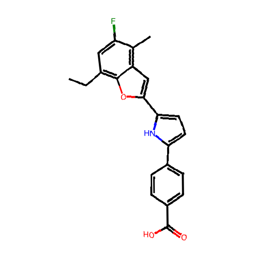 CCc1cc(F)c(C)c2cc(-c3ccc(-c4ccc(C(=O)O)cc4)[nH]3)oc12